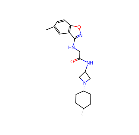 Cc1ccc2onc(NCC(=O)NC3CN([C@H]4CC[C@@H](C)CC4)C3)c2c1